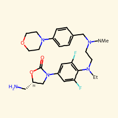 CCN(CCN(Cc1ccc(N2CCOCC2)cc1)NC)c1c(F)cc(N2C[C@H](CN)OC2=O)cc1F